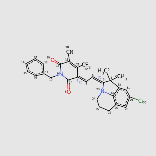 CC1(C)/C(=C/C=C2/C(=O)N(Cc3ccccc3)C(=O)C(C#N)=C2C(F)(F)F)N2CCCc3cc(Cl)cc1c32